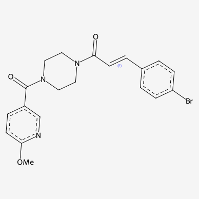 COc1ccc(C(=O)N2CCN(C(=O)/C=C/c3ccc(Br)cc3)CC2)cn1